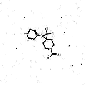 O=C(O)N1CCC2(CC1)[C@@H](c1ccccc1)C2(Cl)Cl